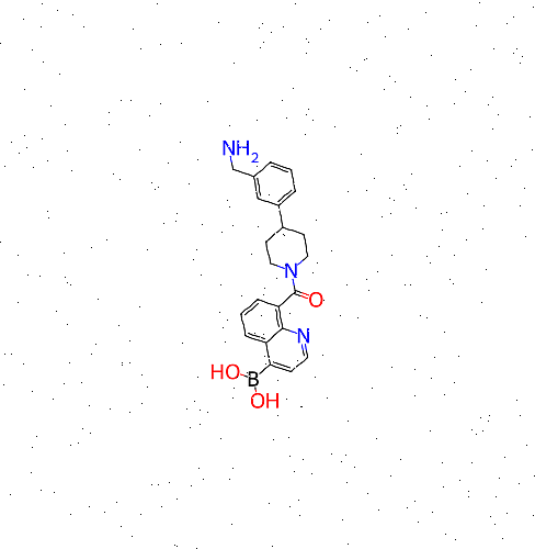 NCc1cccc(C2CCN(C(=O)c3cccc4c(B(O)O)ccnc34)CC2)c1